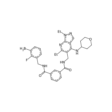 Bc1cccc(CNC(=O)c2cccc(C(=O)NCc3c(CC)nc4c(cnn4CC)c3NC3CCOCC3)c2)c1F